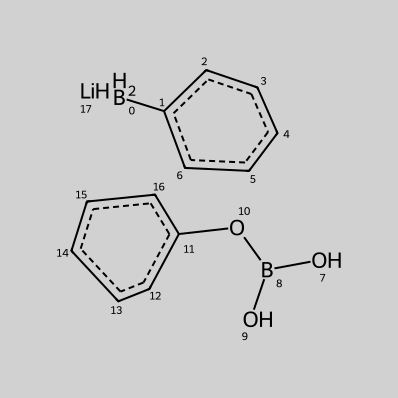 Bc1ccccc1.OB(O)Oc1ccccc1.[LiH]